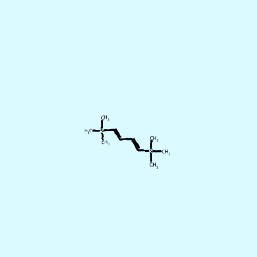 C[Si](C)(C)/[C]=C/C=[C]/[Si](C)(C)C